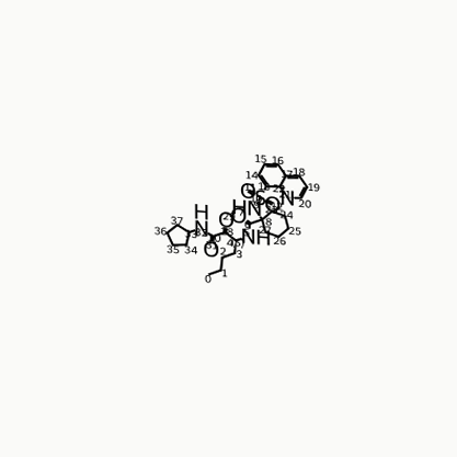 CCCC[C@H](NC(=O)C1(NS(=O)(=O)c2cccc3cccnc23)CCCCC1)C(=O)C(=O)NC1CCCC1